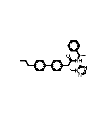 CCCc1ccc(-c2ccc([C@@H](Cn3cncn3)C(=O)N[C@H](C)c3ccccc3)cc2)cc1